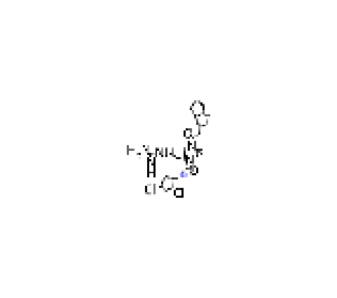 C[C@@H]1CN(C(=O)/C=C/c2ccc(Cl)cc2Cl)[C@@H](CCCNC(=N)N)CN1C(=O)Cc1ccc2ccccc2c1